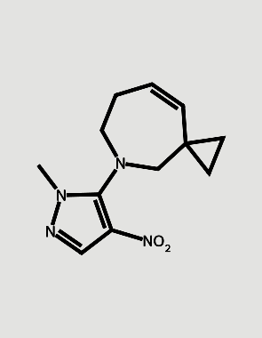 Cn1ncc([N+](=O)[O-])c1N1CCC=CC2(CC2)C1